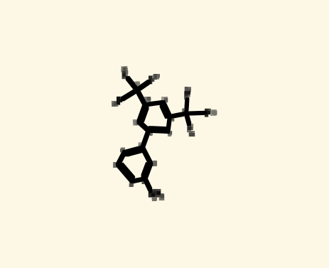 Nc1cccc(-c2cc(C(F)(F)F)cc(C(F)(F)F)c2)c1